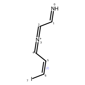 N=CC=[N+]=C/C=C\I